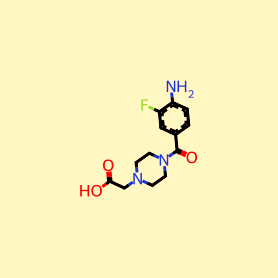 Nc1ccc(C(=O)N2CCN(CC(=O)O)CC2)cc1F